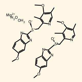 COc1ccc2[n-]c([S@@+]([O-])Cc3ncc(C)c(OC)c3C)nc2c1.COc1ccc2[n-]c([S@@+]([O-])Cc3ncc(C)c(OC)c3C)nc2c1.O.O.[Mg+2]